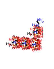 CCN(C(P(=O)(O)O)P(=O)(O)O)C(P(=O)(O)O)P(=O)(O)O.CCN(C(P(=O)(O)O)P(=O)(O)O)C(P(=O)(O)O)P(=O)(O)O.CCN(C(P(=O)(O)O)P(=O)(O)O)C(P(=O)(O)O)P(=O)(O)O.CCN(C(P(=O)(O)O)P(=O)(O)O)C(P(=O)(O)O)P(=O)(O)O.NCCN